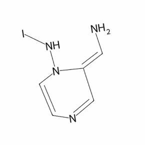 N/C=C1/C=NC=CN1NI